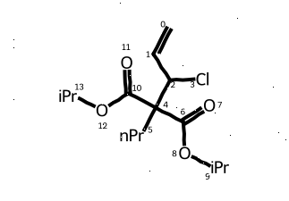 C=CC(Cl)C(CCC)(C(=O)OC(C)C)C(=O)OC(C)C